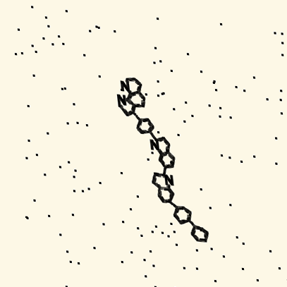 c1ccc(-c2ccc(-c3ccc4ccc(-c5ccc6ccc(-c7ccc(-c8ccnc9c8ccc8cccnc89)cc7)nc6c5)nc4c3)cc2)cc1